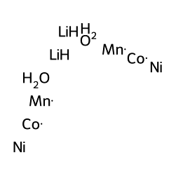 O.O.[Co].[Co].[LiH].[LiH].[Mn].[Mn].[Ni].[Ni]